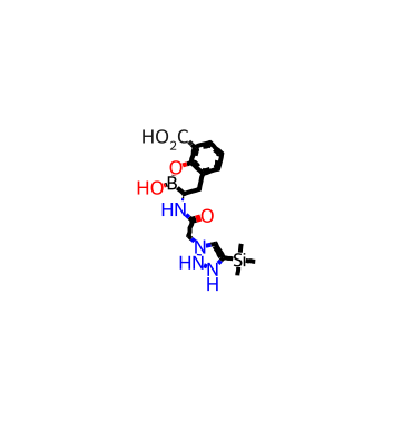 C[Si](C)(C)C1=CN(CC(=O)N[C@H]2Cc3cccc(C(=O)O)c3OB2O)NN1